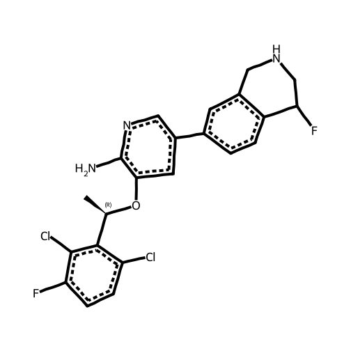 C[C@@H](Oc1cc(-c2ccc3c(c2)CNCC3F)cnc1N)c1c(Cl)ccc(F)c1Cl